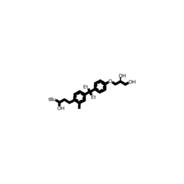 CCC(CC)(c1ccc(OC[C@@H](O)CO)cc1)c1ccc(CCC(O)C(C)(C)C)c(C)c1